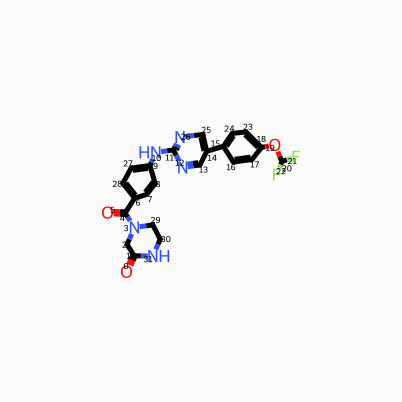 O=C1CN(C(=O)c2ccc(Nc3ncc(-c4ccc(OC(F)F)cc4)cn3)cc2)CCN1